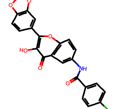 O=C(Nc1ccc2oc(-c3ccc4c(c3)OCO4)c(O)c(=O)c2c1)c1ccc(Cl)cc1